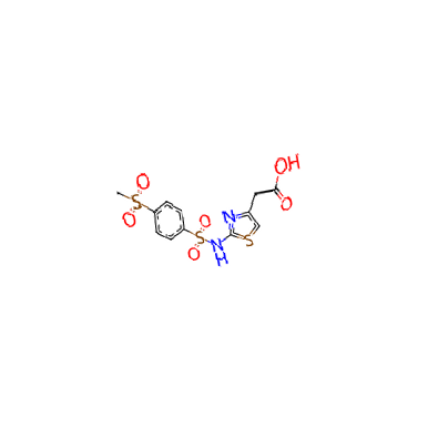 CS(=O)(=O)c1ccc(S(=O)(=O)Nc2nc(CC(=O)O)cs2)cc1